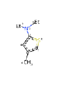 CCN(CC)c1cc(C)cs1